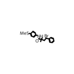 CSc1ccc(NC(=O)C(C)(C)CC(Br)c2ccccc2)cc1